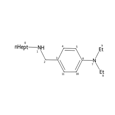 CCCCCCCNCc1ccc(N(CC)CC)cc1